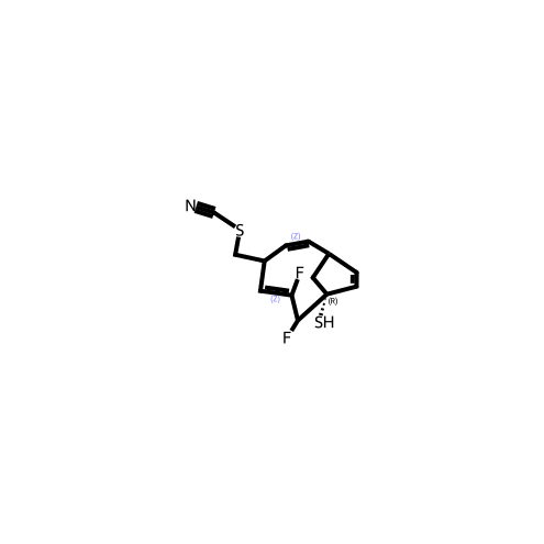 N#CSCC1/C=C\C2C=C[C@](S)(C2)C(F)/C(F)=C/1